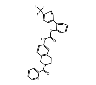 O=C(Nc1ccc2c(c1)CCN(C(=O)c1ccccn1)C2)Oc1ccccc1-c1ccc(C(F)(F)F)cc1